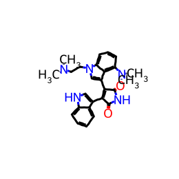 CN(C)CCn1cc(C2=C(c3c[nH]c4ccccc34)C(=O)NC2=O)c2c(N(C)C)cccc21